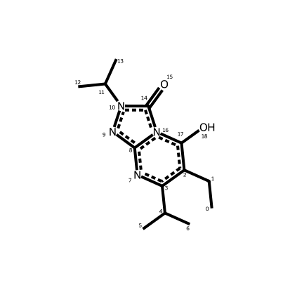 CCc1c(C(C)C)nc2nn(C(C)C)c(=O)n2c1O